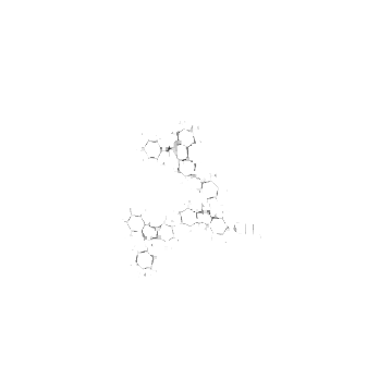 Cc1ccc2c3cc(-c4ccc5c(c4)c4ccccc4n5-c4ccccc4)ccc3n(-c3cccc(-c4ccc5c(c4)c4ccccc4n5-c4ccccc4)c3)c2c1